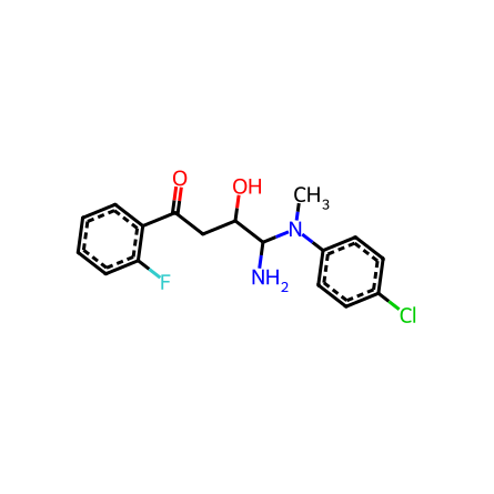 CN(c1ccc(Cl)cc1)C(N)C(O)CC(=O)c1ccccc1F